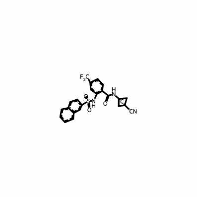 N#CC12CC(NC(=O)c3ccc(C(F)(F)F)cc3NS(=O)(=O)c3ccc4ccccc4c3)(C1)C2